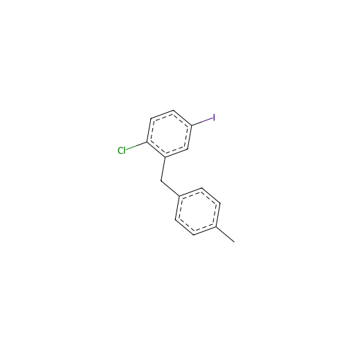 Cc1ccc(Cc2cc(I)ccc2Cl)cc1